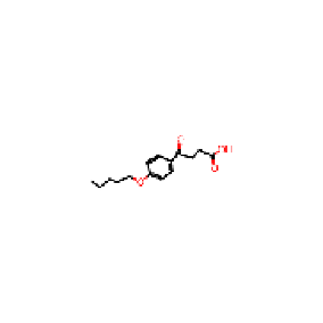 CCCCCOc1ccc(C(=O)CCC(=O)O)cc1